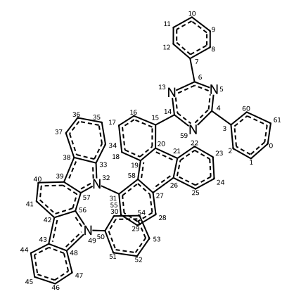 c1ccc(-c2nc(-c3ccccc3)nc(-c3cccc4c3c3ccccc3c3cccc(-n5c6ccccc6c6ccc7c8ccccc8n(-c8ccccc8)c7c65)c34)n2)cc1